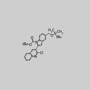 CC(C)(C)OC(=O)n1c(-c2cc3ccccc3nc2Cl)cc2cc(CO[Si](C)(C)C(C)(C)C)ccc21